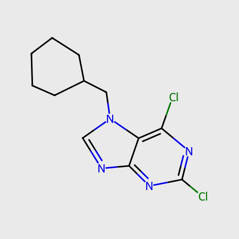 Clc1nc(Cl)c2c(ncn2CC2CCCCC2)n1